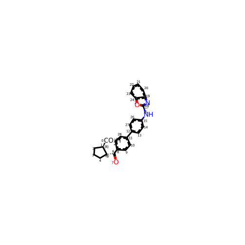 O=C(O)[C@@H]1CCC[C@H]1C(=O)c1ccc(-c2ccc(Nc3nc4ccccc4o3)cc2)cc1